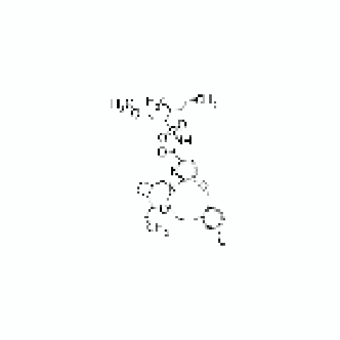 C=CC[C@H](C)[C@@H](CCOC)S(=O)(=O)NC(=O)c1ccc2c(n1)N(C[C@@H]1CC[C@H]1C(=O)C=C)CCCCc1cc(Cl)ccc1CO2